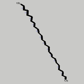 [CH]=C/C=C/C=C/C=C/C=C/C=C/C=C/C=C/C=C/C=C/C=C/C=C/C=C/CCC